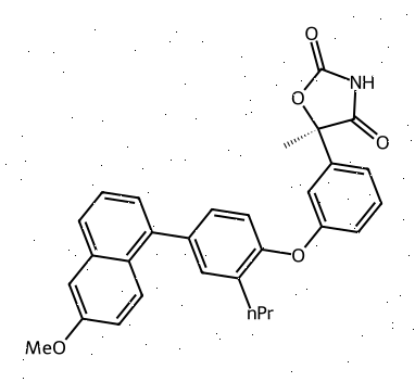 CCCc1cc(-c2cccc3cc(OC)ccc23)ccc1Oc1cccc([C@@]2(C)OC(=O)NC2=O)c1